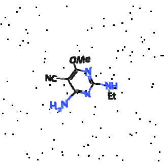 CCNc1nc(N)c(C#N)c(OC)n1